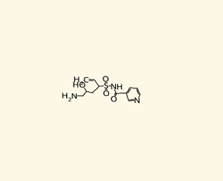 C=CC(CC(O)CN)S(=O)(=O)NC(=O)c1cccnc1